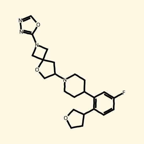 Fc1ccc(C2CCOC2)c(C2CCN(C3COC4(C3)CN(c3nnco3)C4)CC2)c1